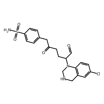 NS(=O)(=O)c1ccc(CC(=O)CCC(C=O)N2CNCc3cc(Cl)ccc32)cc1